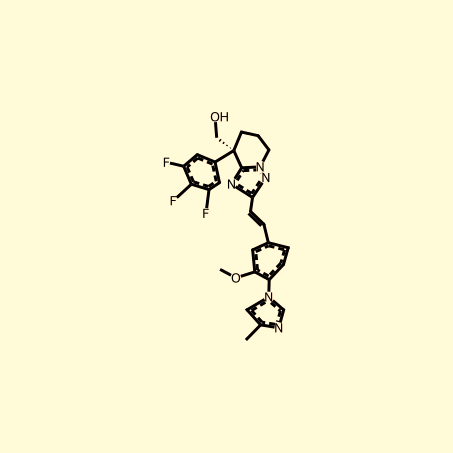 COc1cc(/C=C/c2nc3n(n2)CCC[C@]3(CO)c2cc(F)c(F)c(F)c2)ccc1-n1cnc(C)c1